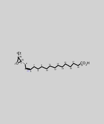 CC[C@H]1O[C@H]1C/C=C\CCCCCCCCCCCCC(=O)O